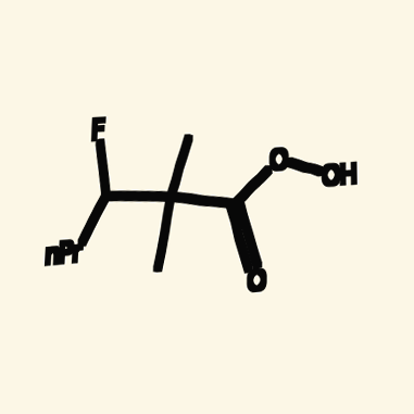 CCCC(F)C(C)(C)C(=O)OO